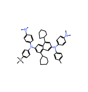 Cc1ccc(N(c2ccc(N(C)C)cc2)c2cc(C3CCCCC3)c3cc(N(c4ccc(N(C)C)cc4)c4ccc([Si](C)(C)C)cc4)cc(C4CCCCC4)c3c2)cc1